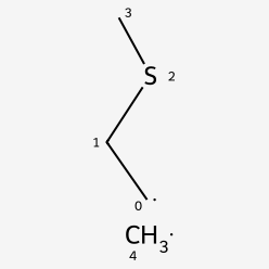 [CH2]CSC.[CH3]